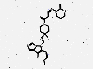 C=C1OCCCN1/N=C\CC(=O)N1CCC(C)(CC[C@H]2C(/C=C\CC)=C(C)c3cncn32)CC1